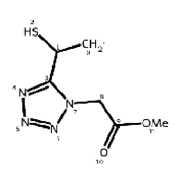 [CH2]C(S)c1nnnn1CC(=O)OC